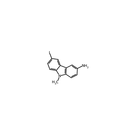 Cn1c2ccc(N)cc2c2cc(I)ccc21